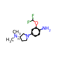 CN(C)[C@H]1CCN(c2ccc(N)c(OC(F)F)c2)C1